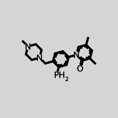 Cc1cc(C)c(=O)n(-c2ccc(CN3CCN(C)CC3)c(P)c2)c1